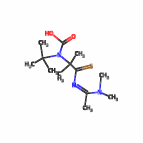 CC(=NC(=S)C(C)(C)N(C(=O)O)C(C)(C)C)N(C)C